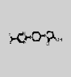 O=C1C(O)CCN1C1CCN(c2ncc(C(F)F)cn2)CC1